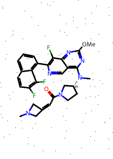 COc1nc(N(C)[C@@H]2CCN(C(=O)C=C3CN(C)C3)C2)c2cnc(-c3cccc4ccc(F)c(F)c34)c(F)c2n1